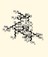 CC(C)C[C@H](NC(=O)[C@H](CCCCN)NC(=O)[C@H](CC(C)C)NC(=O)CNC(=O)[C@H](CCCNC(=N)N)NC(=O)[C@H](CCCCN)NC(=O)[C@H](CCCNC(=N)N)NC(=O)[C@@H](NC(=O)[C@H](CC(C)C)NC(=O)[C@H](CCCNC(=N)N)NC(=O)[C@@H](N)CC(C)C)[C@@H](C)O)C(=O)O